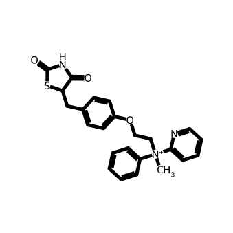 C[N+](CCOc1ccc(CC2SC(=O)NC2=O)cc1)(c1ccccc1)c1ccccn1